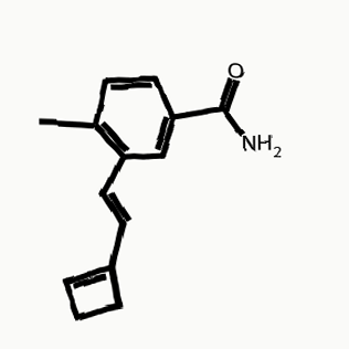 Cc1ccc(C(N)=O)cc1/C=C/C1=CCC1